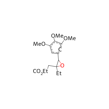 CCOC(=O)CC1(CC)OC1c1cc(OC)c(OC)c(OC)c1